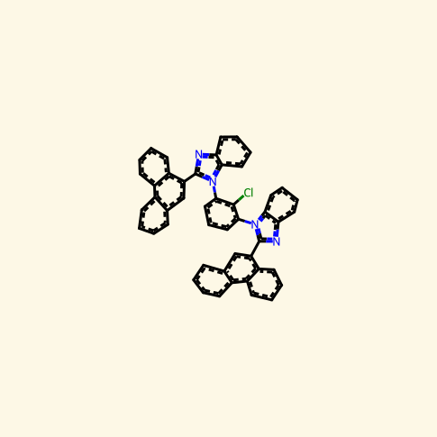 Clc1c(-n2c(-c3cc4ccccc4c4ccccc34)nc3ccccc32)cccc1-n1c(-c2cc3ccccc3c3ccccc23)nc2ccccc21